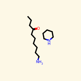 C1CCNCC1.CCCC(=O)CCCCCCN